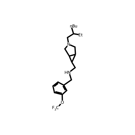 CCCCC(CC)CN1CC2C(CNCc3cccc(OC(F)(F)F)c3)C2C1